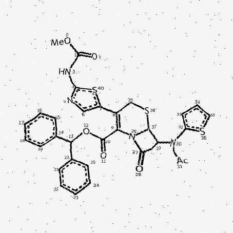 COC(=O)Nc1ncc(C2=C(C(=O)OC(c3ccccc3)c3ccccc3)N3C(=O)C(N(C(C)=O)c4cccs4)C3SC2)s1